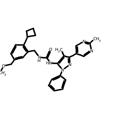 COCc1ccc(C2CCC2)c(CNC(=O)Nc2c(C)c(-c3cnc(C)nc3)nn2-c2ccccc2)c1